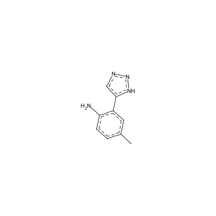 Cc1ccc(N)c(-c2cnn[nH]2)c1